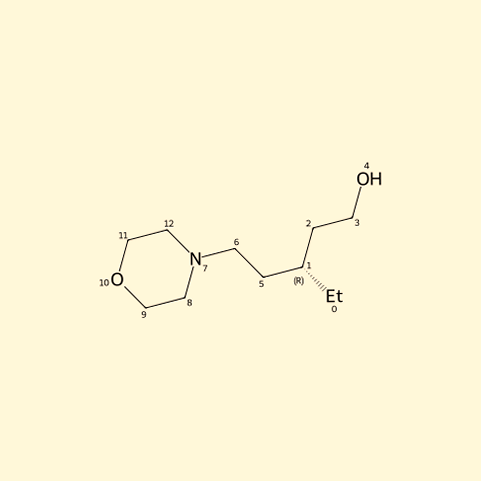 CC[C@@H](CCO)CCN1CCOCC1